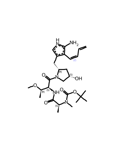 C=C/C=C\c1c(C[C@@H]2C[C@H](O)CN2C(=O)[C@@H](NC(=O)[C@H](C)N(C)C(=O)OC(C)(C)C)[C@@H](C)OC)c[nH]c1N